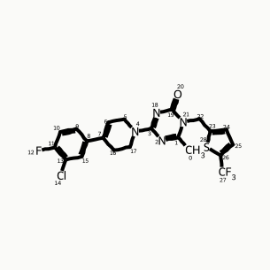 Cc1nc(N2CC=C(c3ccc(F)c(Cl)c3)CC2)nc(=O)n1Cc1ccc(C(F)(F)F)s1